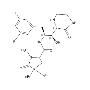 CCCC1(CCC)CC(C(=O)N[C@@H](Cc2cc(F)cc(F)c2)[C@H](O)[C@@H]2NCCNC2=O)N(C)C1=O